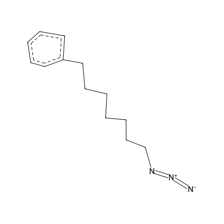 [N-]=[N+]=NCCCCCCCc1ccccc1